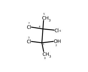 CC(O)(Cl)C(C)(Cl)Cl